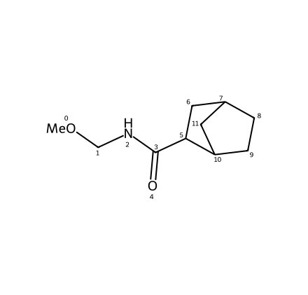 COCNC(=O)C1CC2CCC1C2